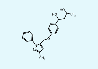 Cc1cc(COc2ccc(C(O)CC(O)C(F)(F)F)cc2)n(-c2ccccc2)n1